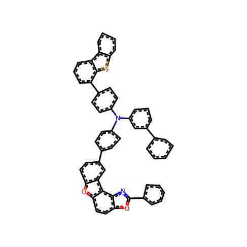 c1ccc(-c2cccc(N(c3ccc(-c4ccc5oc6ccc7oc(-c8ccccc8)nc7c6c5c4)cc3)c3ccc(-c4cccc5c4sc4ccccc45)cc3)c2)cc1